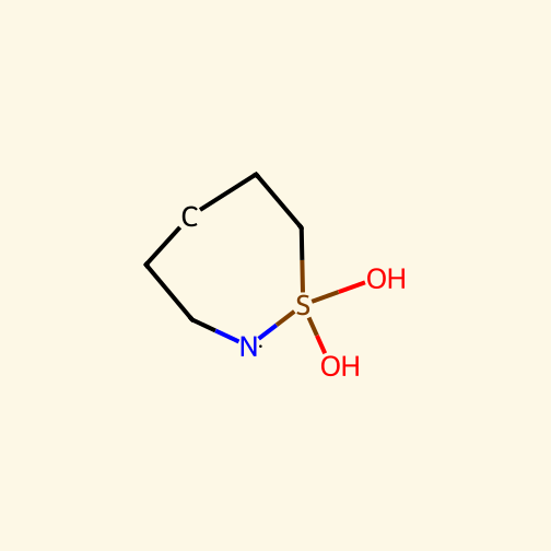 OS1(O)CCCCC[N]1